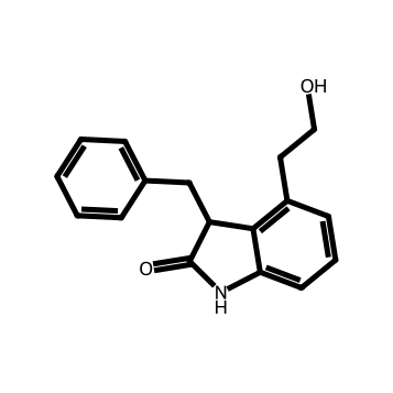 O=C1Nc2cccc(CCO)c2C1Cc1ccccc1